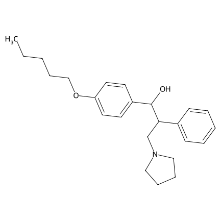 CCCCCOc1ccc(C(O)C(CN2CCCC2)c2ccccc2)cc1